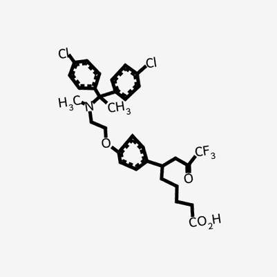 CN(CCOc1ccc(C(CCCCC(=O)O)CC(=O)C(F)(F)F)cc1)C(C)(c1ccc(Cl)cc1)c1ccc(Cl)cc1